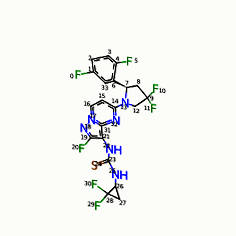 Fc1ccc(F)c([C@H]2CC(F)(F)CN2c2ccn3nc(F)c(NC(=S)NC4CC4(F)F)c3n2)c1